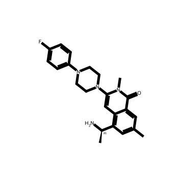 Cc1cc([C@@H](C)N)c2cc(N3CCN(c4ccc(F)cc4)CC3)n(C)c(=O)c2c1